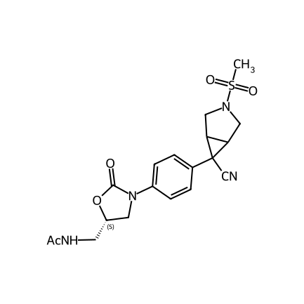 CC(=O)NC[C@H]1CN(c2ccc(C3(C#N)C4CN(S(C)(=O)=O)CC43)cc2)C(=O)O1